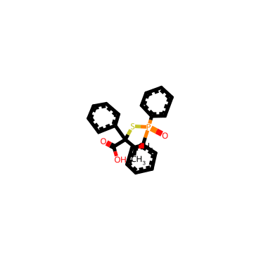 CC(C)C(SP(=O)(c1ccccc1)c1ccccc1)(C(=O)O)c1ccccc1